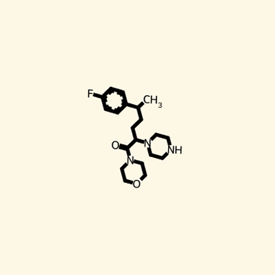 CC(CCC(C(=O)N1CCOCC1)N1CCNCC1)c1ccc(F)cc1